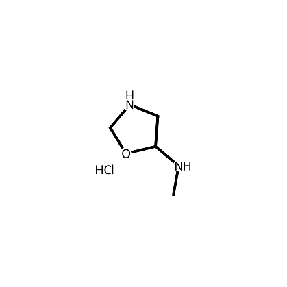 CNC1CNCO1.Cl